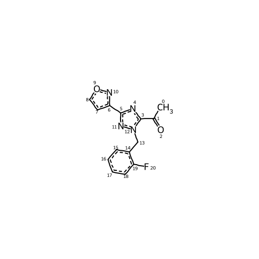 CC(=O)c1nc(-c2ccon2)nn1Cc1ccccc1F